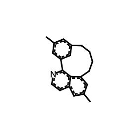 Cc1cc2cc(c1)-c1nccc3cc(C)cc(c13)CCCC2